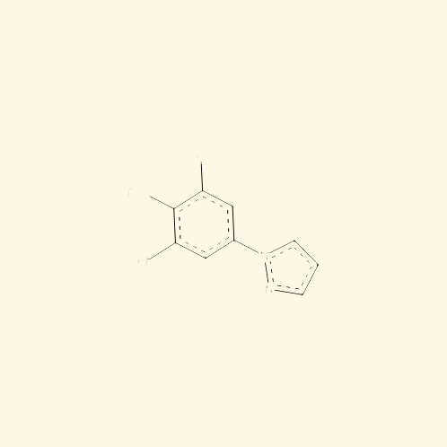 FC(F)(F)c1c(Cl)cc(-n2cccn2)cc1Cl